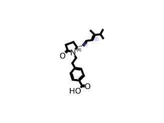 C/C(=C\C=C\[C@H]1CCC(=O)N1CCc1ccc(C(=O)O)cc1)C(C)C